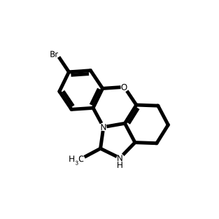 CC1NC2CCCC3=C2N1c1ccc(Br)cc1O3